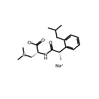 CC(C)Cc1ccccc1[C@H](C)C(=O)N[C@H](CN(C)C)C(=O)[O-].[Na+]